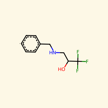 OC(CNCc1cc[c]cc1)C(F)(F)F